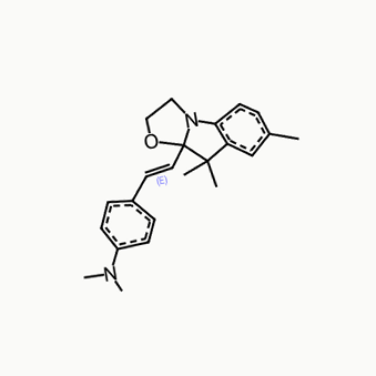 Cc1ccc2c(c1)C(C)(C)C1(/C=C/c3ccc(N(C)C)cc3)OCCN21